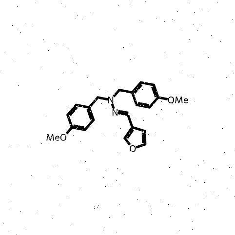 COc1ccc(CN(Cc2ccc(OC)cc2)N=Cc2ccoc2)cc1